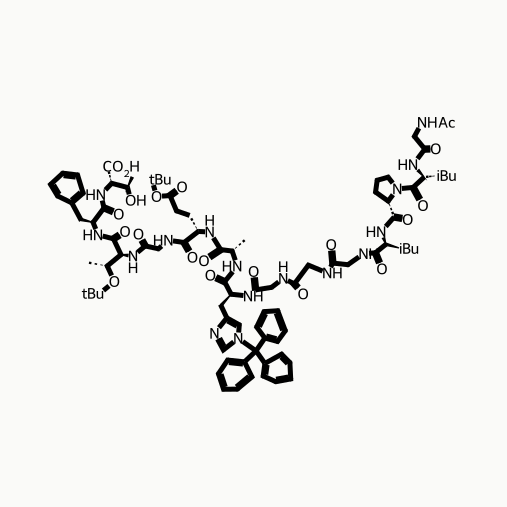 CC[C@H](C)[C@H](NC(=O)[C@@H]1CCCN1C(=O)[C@@H](NC(=O)CNC(C)=O)[C@@H](C)CC)C(=O)NCC(=O)NCC(=O)NCC(=O)N[C@@H](Cc1cn(C(c2ccccc2)(c2ccccc2)c2ccccc2)cn1)C(=O)N[C@@H](C)C(=O)N[C@@H](CCC(=O)OC(C)(C)C)C(=O)NCC(=O)N[C@H](C(=O)N[C@@H](Cc1ccccc1)C(=O)N[C@H](C(=O)O)[C@@H](C)O)[C@@H](C)OC(C)(C)C